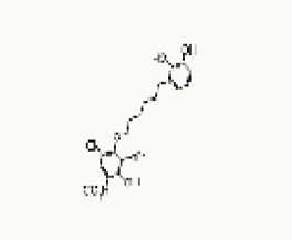 CCCc1c(O)c(C(=O)O)cc(Cl)c1OCCCCCCc1cccc(O)c1O